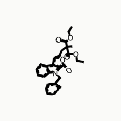 CCOC(=O)C(C)(Cc1cc2c3ccccc3n(Cc3ccccc3)c2c(=O)o1)C(=O)OCC